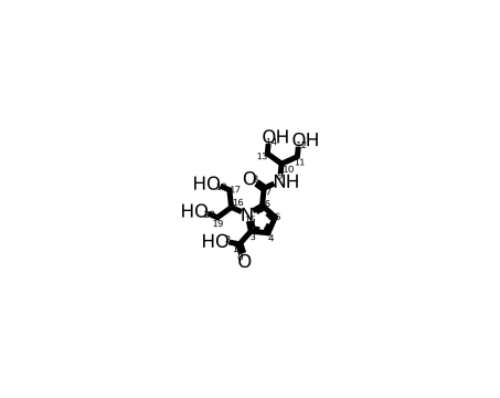 O=C(O)c1ccc(C(=O)NC(CO)CO)n1C(CO)CO